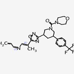 C=C/C=N\C=C(/C)c1nc(C2CC(c3ccc(C(F)(F)F)cc3)CN(C(=O)N3CCOCC3)C2)no1